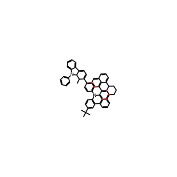 CC1C(c2ccc(N(c3ccc(C(C)(C)C)cc3-c3ccccc3)c3ccccc3-c3cccc4cccc(C5CCCCC5)c34)cc2)=CC=C2c3ccccc3N(c3ccccc3)C21